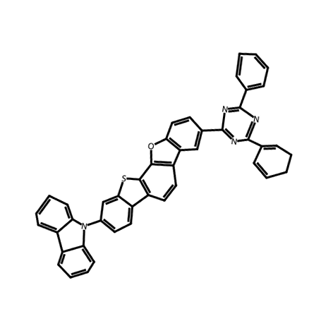 C1=CC(c2nc(-c3ccccc3)nc(-c3ccc4oc5c(ccc6c7ccc(-n8c9ccccc9c9ccccc98)cc7sc65)c4c3)n2)=CCC1